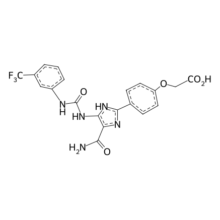 NC(=O)c1nc(-c2ccc(OCC(=O)O)cc2)[nH]c1NC(=O)Nc1cccc(C(F)(F)F)c1